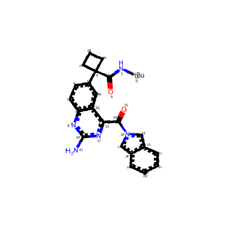 CC(C)(C)NC(=O)C1(c2ccc3nc(N)nc(C(=O)n4cc5ccccc5c4)c3c2)CCC1